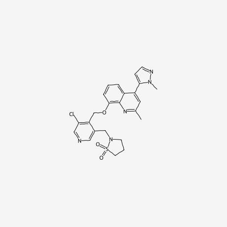 Cc1cc(-c2ccnn2C)c2cccc(OCc3c(Cl)cncc3CN3CCCS3(=O)=O)c2n1